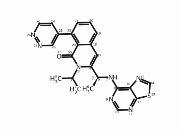 CC(C)n1c([C@H](C)Nc2ncnc3scnc23)cc2cccc(-c3ccnnc3)c2c1=O